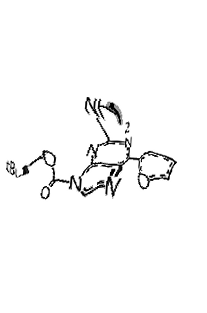 CC(C)(C)OC(=O)n1cnc2c(-c3ccco3)nc(N)nc21